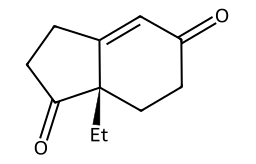 CC[C@]12CCC(=O)C=C1CCC2=O